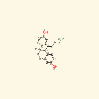 CC1(c2ccc(O)cc2)CCc2cc(O)ccc2C1CCCCBr